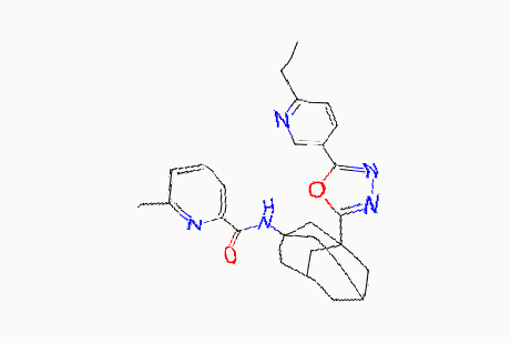 CCc1ccc(-c2nnc(C34CC5CC(CC(NC(=O)c6cccc(C)n6)(C5)C3)C4)o2)cn1